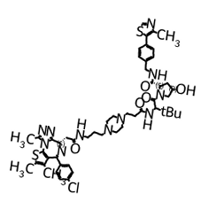 Cc1ncsc1-c1ccc(CNC(=O)[C@@H]2C[C@@H](O)CN2C(=O)C(NC(=O)CCN2CCN(CCCNC(=O)C[C@@H]3N=C(c4ccc(Cl)cc4)c4c(sc(C)c4C)-n4c(C)nnc43)CC2)C(C)(C)C)cc1